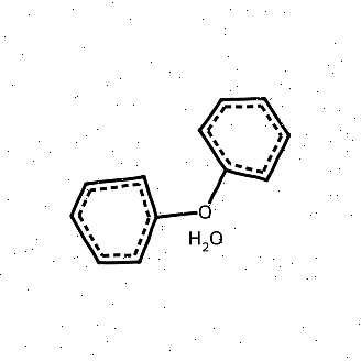 O.[c]1ccc(Oc2ccccc2)cc1